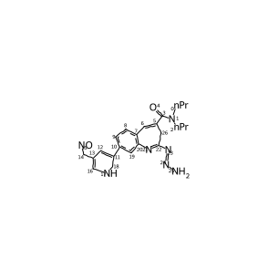 CCCN(CCC)C(=O)C1=Cc2ccc(C3=CC(CN=O)=CNC3)cc2N=C(N=NN)C1